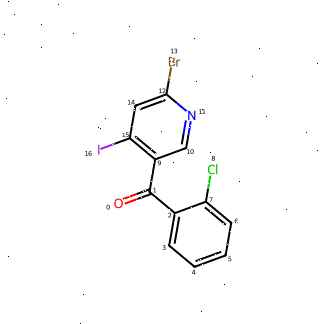 O=C(c1ccccc1Cl)c1cnc(Br)cc1I